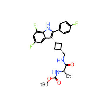 CC[C@@H](NC(=O)OC(C)(C)C)C(=O)NC[C@H]1C[C@H](c2c(-c3ccc(F)cc3)[nH]c3c(F)cc(F)cc32)C1